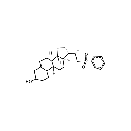 C[C@H](CS(=O)(=O)c1ccccc1)[C@H]1CC[C@H]2[C@@H]3CC=C4CC(O)CC[C@]4(C)[C@H]3CC[C@]12C